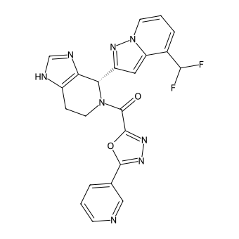 O=C(c1nnc(-c2cccnc2)o1)N1CCc2[nH]cnc2[C@@H]1c1cc2c(C(F)F)cccn2n1